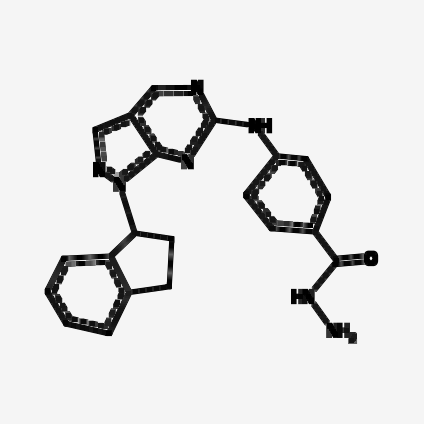 NNC(=O)c1ccc(Nc2ncc3cnn(C4CCc5ccccc54)c3n2)cc1